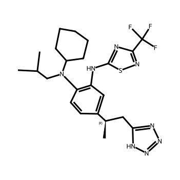 CC(C)CN(c1ccc([C@H](C)Cc2nnn[nH]2)cc1Nc1nc(C(F)(F)F)ns1)C1CCCCC1